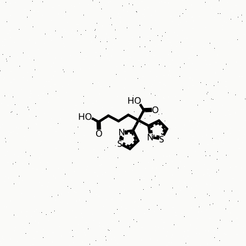 O=C(O)CCCC(C(=O)O)(c1ccsn1)c1ccsn1